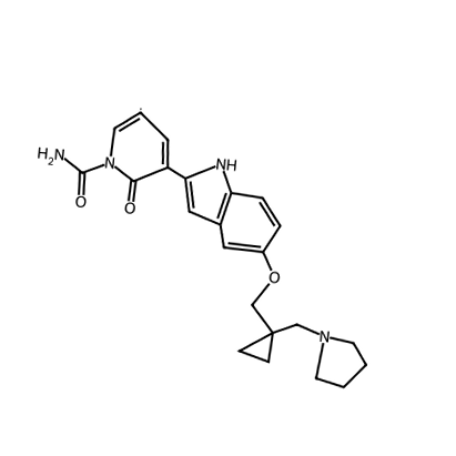 NC(=O)n1c[c]cc(-c2cc3cc(OCC4(CN5CCCC5)CC4)ccc3[nH]2)c1=O